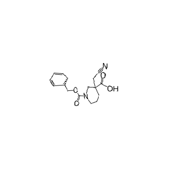 N#CCC1(C(=O)O)CCCN(C(=O)OCc2ccccc2)C1